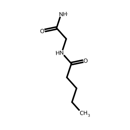 CCCCC(=O)NCC([NH])=O